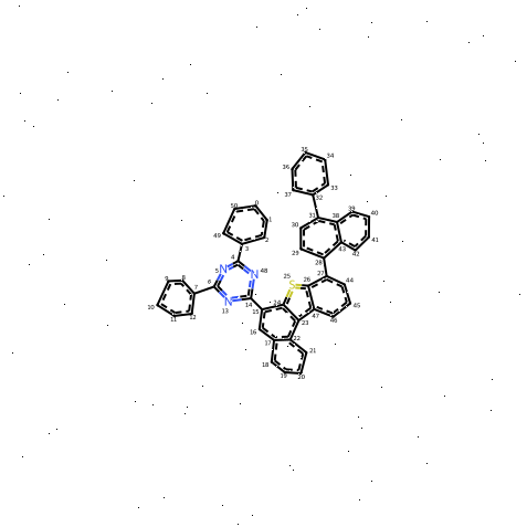 c1ccc(-c2nc(-c3ccccc3)nc(-c3cc4ccccc4c4c3sc3c(-c5ccc(-c6ccccc6)c6ccccc56)cccc34)n2)cc1